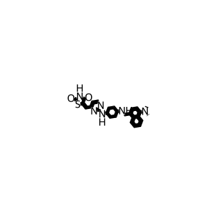 CN(C)c1ccc(CNC2CCC(Nc3nccc(/C=C4/SC(=O)NC4=O)n3)CC2)c2ccccc12